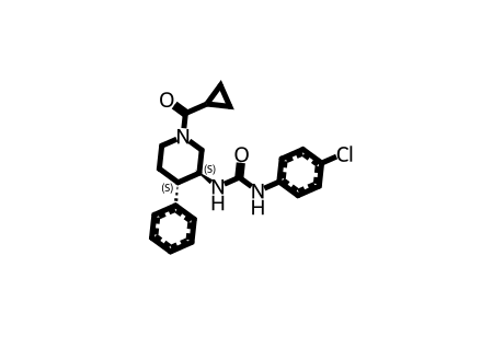 O=C(Nc1ccc(Cl)cc1)N[C@@H]1CN(C(=O)C2CC2)CC[C@H]1c1ccccc1